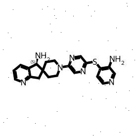 Nc1cnccc1Sc1cnc(N2CCC3(CC2)Cc2ncccc2[C@H]3N)cn1